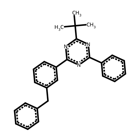 CC(C)(C)c1nc(-c2ccccc2)nc(-c2cccc(Cc3ccccc3)c2)n1